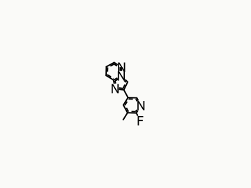 Cc1cc(-c2cn3ncccc3n2)cnc1F